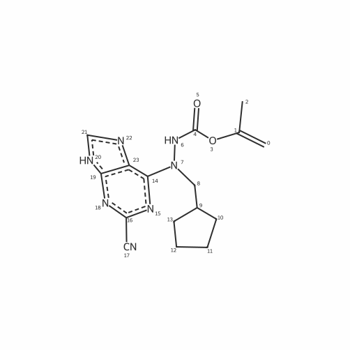 C=C(C)OC(=O)NN(CC1CCCC1)c1nc(C#N)nc2[nH]cnc12